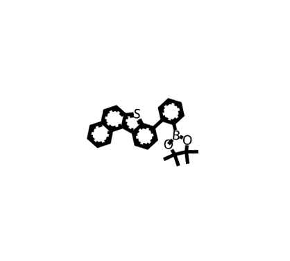 CC1(C)OB(c2ccccc2-c2cccc3c2sc2ccc4ccccc4c23)OC1(C)C